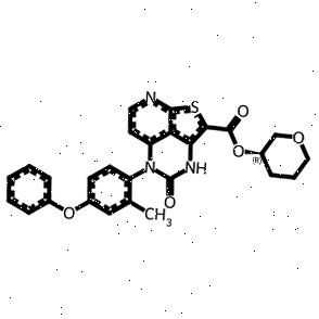 Cc1cc(Oc2ccccc2)ccc1N1C(=O)Nc2c(C(=O)O[C@@H]3CCCOC3)sc3nccc1c23